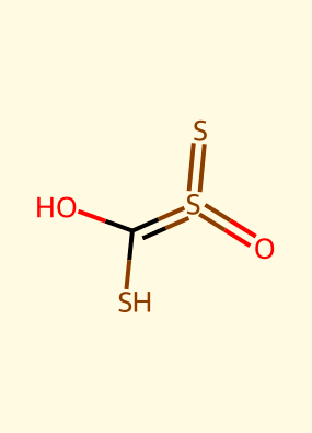 O=S(=S)=C(O)S